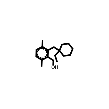 CCC1(Cc2c(C)ccc(C)c2CO)CCCCC1